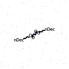 CCCCCCCCCCCCCCOC(=O)/C=C/C(=O)OCCCCCCCCCCCCCC